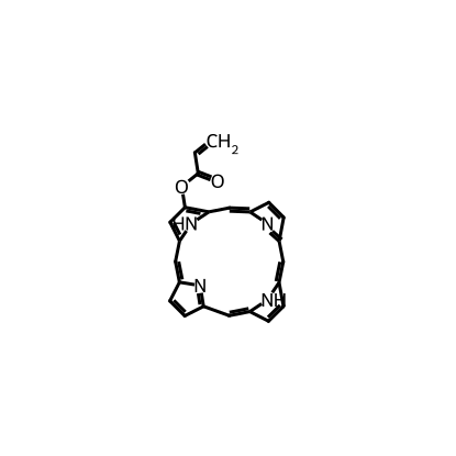 C=CC(=O)Oc1cc2cc3nc(cc4ccc(cc5nc(cc1[nH]2)C=C5)[nH]4)C=C3